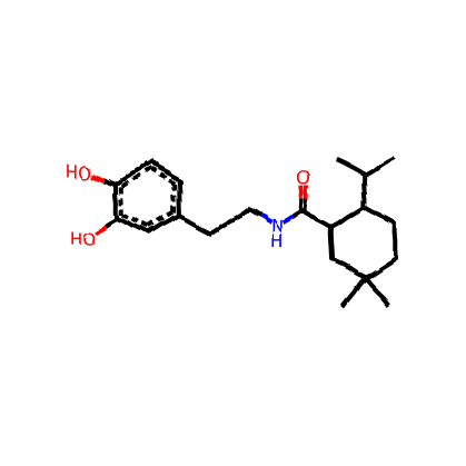 CC(C)C1CCC(C)(C)CC1C(=O)NCCc1ccc(O)c(O)c1